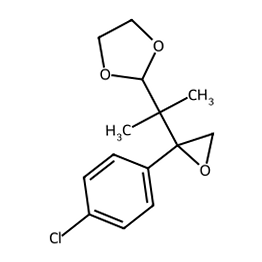 CC(C)(C1OCCO1)C1(c2ccc(Cl)cc2)CO1